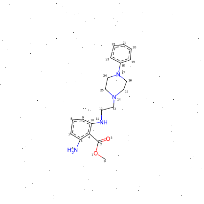 COC(=O)c1c(N)cccc1NCCN1CCN(c2ccccc2)CC1